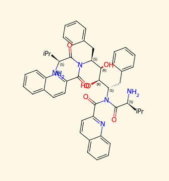 CC(C)[C@H](N)C(=O)N(C(=O)c1ccc2ccccc2n1)[C@@H](Cc1ccccc1)[C@@H](O)[C@H](O)[C@H](Cc1ccccc1)N(C(=O)c1ccc2ccccc2n1)C(=O)[C@@H](N)C(C)C